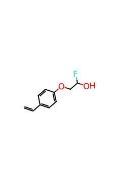 C=Cc1ccc(OCC(O)F)cc1